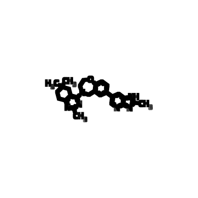 Cc1nc2c(c(N3CCOc4ccc(-c5cnc6nc(C)[nH]c6c5)cc4C3)n1)CC(C)(C)CC2